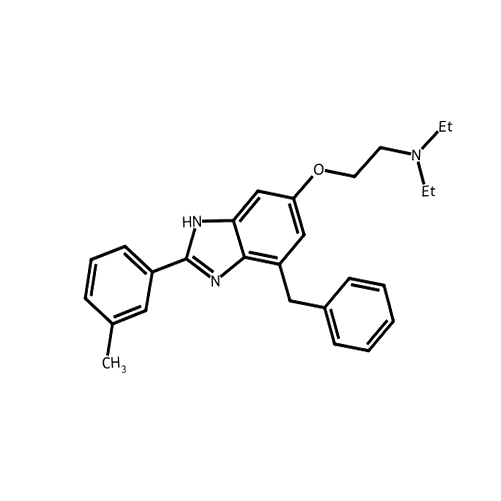 CCN(CC)CCOc1cc(Cc2ccccc2)c2nc(-c3cccc(C)c3)[nH]c2c1